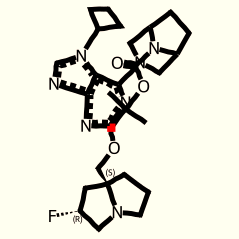 CC(C)(C)OC(=O)N1C2CCC1CN(c1nc(OC[C@@]34CCCN3C[C@H](F)C4)nc3ncn(C4CCC4)c13)C2